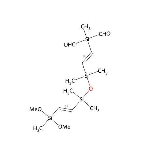 CO[Si](C)(/C=C/[Si](C)(C)O[Si](C)(C)/C=C/[Si](C)(C=O)C=O)OC